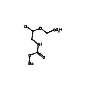 CCC(CNC(=O)OC(C)(C)C)OCC(=O)O